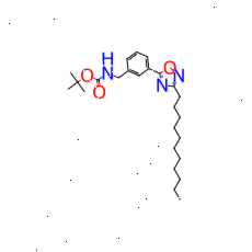 CCCCCCCCCCCc1noc(-c2cccc(CNC(=O)OC(C)(C)C)c2)n1